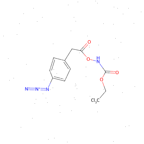 [N-]=[N+]=Nc1ccc(CC(=O)ONC(=O)OCC(Cl)(Cl)Cl)cc1